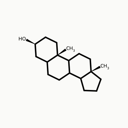 C[C@@]12CCCC1C1CCC3C[C@@H](O)CC[C@]3(C)C1CC2